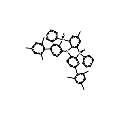 Cc1cc(C)c(-c2ccc3c(c2)P(=S)(c2ccccc2)c2cc(C)cc4c2N3c2ccc(-c3c(C)cc(C)cc3C)cc2P4(=S)c2ccccc2)c(C)c1